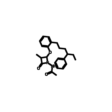 CCC(CCCc1ccccc1OC1C(C)C(=O)N1NC(C)=O)c1ccccc1